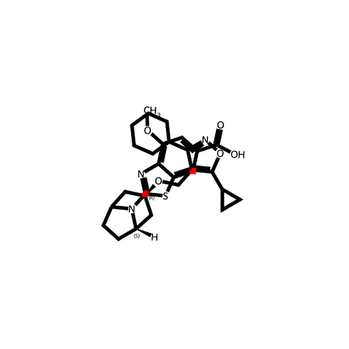 COc1cc(C(=O)O)cc2sc(N3C4CC[C@H]3C[C@H](OCc3c(C5CCCCC5)noc3C3CC3)C4)nc12